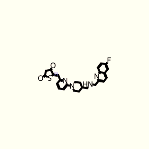 O=C1CC(=O)/C(=C/c2cccc(N3CCC(CNCc4ccc5cc(F)ccc5n4)CC3)n2)S1